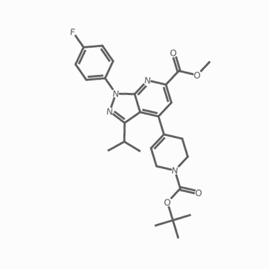 COC(=O)c1cc(C2=CCN(C(=O)OC(C)(C)C)CC2)c2c(C(C)C)nn(-c3ccc(F)cc3)c2n1